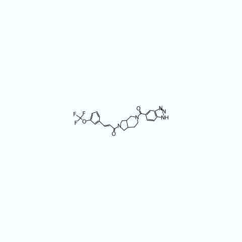 O=C(C=Cc1cccc(OC(F)(F)F)c1)N1CC2CCN(C(=O)c3ccc4[nH]nnc4c3)CC2C1